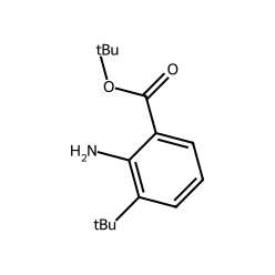 CC(C)(C)OC(=O)c1cccc(C(C)(C)C)c1N